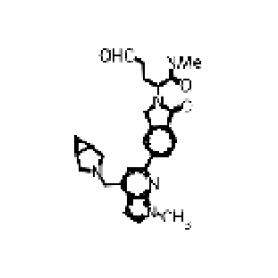 CNC(=O)C(CCC=O)N1Cc2cc(-c3cc(CN4CC5CC5C4)c4ccn(C)c4n3)ccc2C1=O